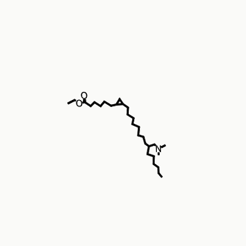 CCCCCCC(CCCCCCCCC1CC1CCCCCC(=O)OCC)CN(C)C